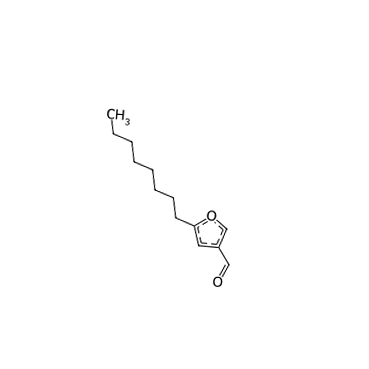 CCCCCCCCc1cc(C=O)co1